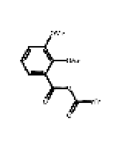 CCCC(=O)OC(=O)c1cccc(OC)c1OC